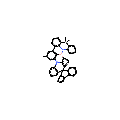 Cc1cc2c3c(c1)N1c4ccccc4C4(c5ccccc5-c5ccccc54)c4cccc(c41)B3N1c3ccccc3[Si](C)(C)c3cccc-2c31